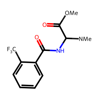 CNC(NC(=O)c1ccccc1C(F)(F)F)C(=O)OC